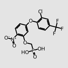 O=[N+]([O-])c1ccc(Oc2ccc(C(F)(F)F)cc2Cl)cc1OCP(=O)(O)O